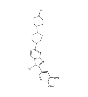 CCn1c(-c2ccc(OC)c(OC)c2)nc2cc(C3CCN(C4CCN(C(C)C)CC4)CC3)ccc21